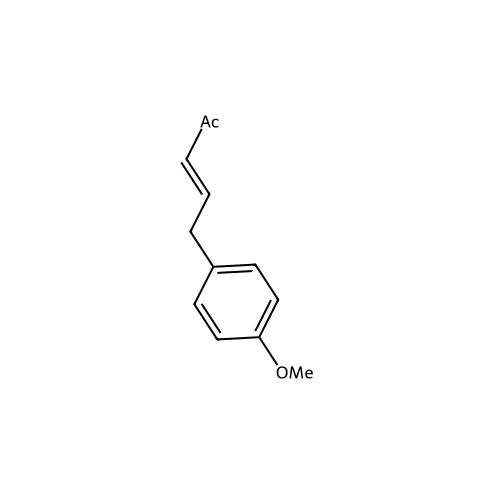 COc1ccc(CC=CC(C)=O)cc1